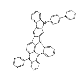 c1ccc(-c2ccc(-n3c4ccccc4c4cc5c6ccc7c8c6n(c5cc43)-c3ccccc3B8c3ccccc3N7c3ccccc3)cc2)cc1